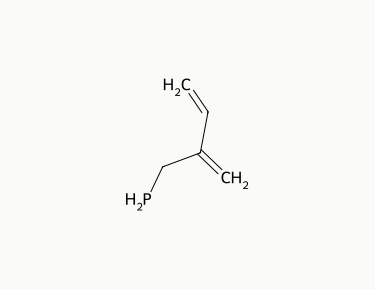 C=CC(=C)CP